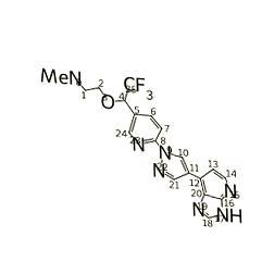 CNCCOC(c1ccc(-n2cc(-c3ccnc4[nH]cnc34)cn2)nc1)C(F)(F)F